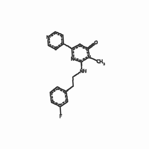 Cn1c(NCCc2cccc(F)c2)nc(-c2ccncc2)cc1=O